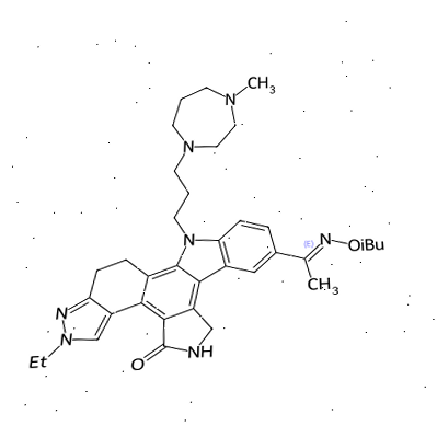 CCn1cc2c(n1)CCc1c-2c2c(c3c4cc(/C(C)=N/OCC(C)C)ccc4n(CCCN4CCCN(C)CC4)c13)CNC2=O